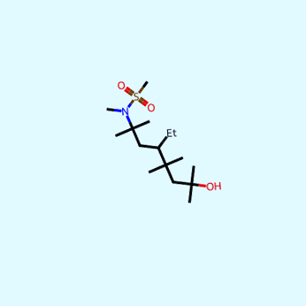 CCC(CC(C)(C)N(C)S(C)(=O)=O)C(C)(C)CC(C)(C)O